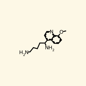 COc1cccc2c(C(N)CCCCN)ccnc12